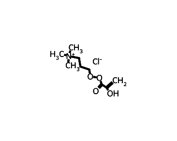 C=C(O)C(=O)OOCCC[N+](C)(C)C.[Cl-]